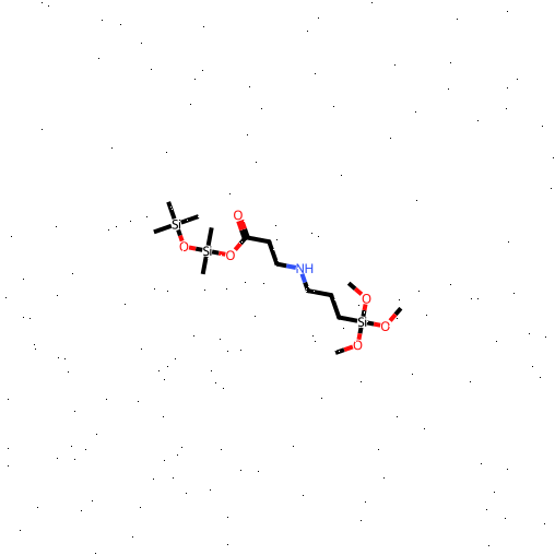 CO[Si](CCCNCCC(=O)O[Si](C)(C)O[Si](C)(C)C)(OC)OC